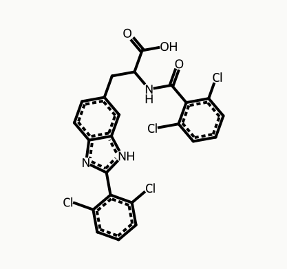 O=C(NC(Cc1ccc2nc(-c3c(Cl)cccc3Cl)[nH]c2c1)C(=O)O)c1c(Cl)cccc1Cl